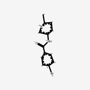 Cc1ccc(NC(=O)c2ccc(Br)cc2)cn1